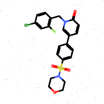 O=c1ccc(-c2ccc(S(=O)(=O)N3CCOCC3)cc2)cn1Cc1ccc(Cl)cc1F